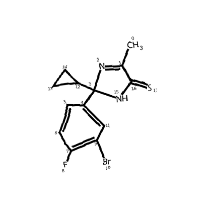 CC1=NC(c2ccc(F)c(Br)c2)(C2CC2)NC1=S